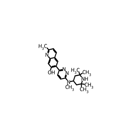 Cc1ccc2cc(-c3ccc(N(C)C4CC(C)(C)NC(C)(C)C4)nn3)c(O)cc2n1